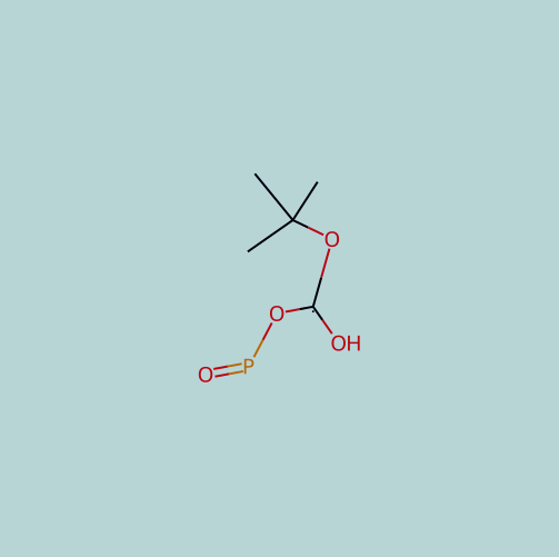 CC(C)(C)O[C](O)OP=O